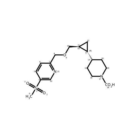 CS(=O)(=O)c1ccc(COC[C@H]2C[C@@H]2C2CCN(C(=O)O)CC2)nc1